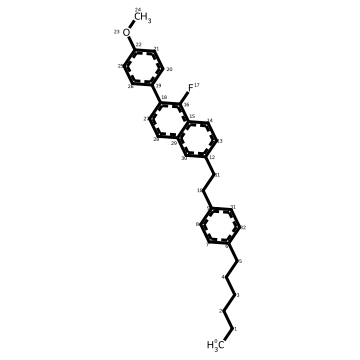 CCCCCCc1ccc(CCc2ccc3c(F)c(-c4ccc(OC)cc4)ccc3c2)cc1